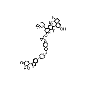 CCc1c(F)ccc2cc(O)cc(-c3ncc4c(N5CCC[C@]6(CCO6)C5)nc(OCC5(CN6CCC7(CC6)CC(CN6CCN(c8ccc9c(cnn9C9CCC(=O)NC9=O)c8)CC6)C7)CC5)nc4c3F)c12